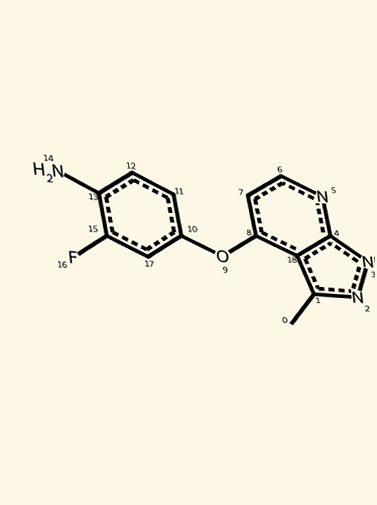 Cc1n[nH]c2nccc(Oc3ccc(N)c(F)c3)c12